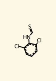 S=CNc1c(Cl)cccc1Cl